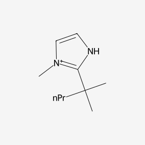 CCCC(C)(C)c1[nH]cc[n+]1C